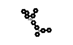 C1=CC(Nc2ccc(-c3ccccc3)cc2-c2cccc3c2ccc2ccccc23)CC=C1c1ccc(N(c2ccccc2)c2ccc(-c3ccccc3)cc2)cc1